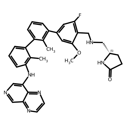 COc1cc(-c2cccc(-c3cccc(Nc4cncc5nccnc45)c3C)c2C)cc(F)c1CNC[C@@H]1CCC(=O)N1